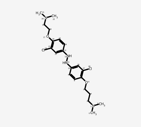 CN(C)CCCOc1ccc(NNc2ccc(OCCN(C)C)c(Cl)c2)cc1Cl